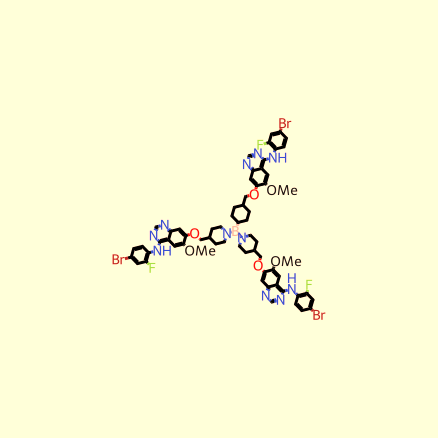 COc1cc2c(Nc3ccc(Br)cc3F)ncnc2cc1OCC1CCC(B(N2CCC(COc3cc4ncnc(Nc5ccc(Br)cc5F)c4cc3OC)CC2)N2CCC(COc3cc4ncnc(Nc5ccc(Br)cc5F)c4cc3OC)CC2)CC1